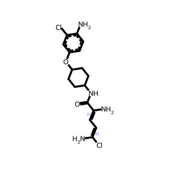 N/C(=C\C=C(/N)Cl)C(=O)NC1CCC(Oc2ccc(N)c(Cl)c2)CC1